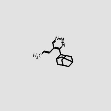 CC=Cc1cnnnc1C1C2CC3CC(C2)CC1C3